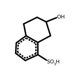 O=S(=O)(O)c1cccc2c1CC(O)CC2